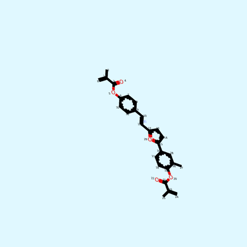 C=C(C)C(=O)Oc1ccc(/C=C/c2ccc(-c3ccc(OC(=O)C(=C)C)c(C)c3)o2)cc1